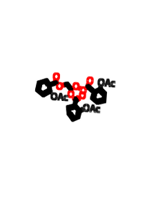 CC(=O)Oc1ccccc1C(=O)OCC(OOC(=O)c1ccccc1OC(C)=O)OC(=O)c1ccccc1OC(C)=O